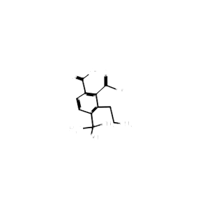 CCCc1c(C(C)(C)O)ccc(C(=O)O)c1C(=O)O